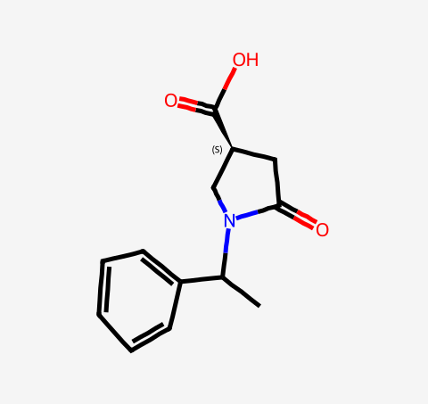 CC(c1ccccc1)N1C[C@@H](C(=O)O)CC1=O